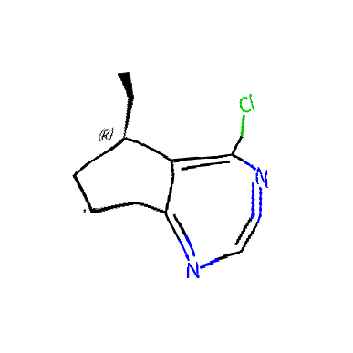 C[C@@H]1C[CH]c2ncnc(Cl)c21